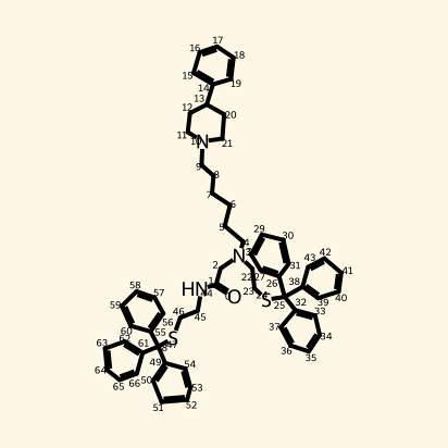 O=C(CN(CCCCCCN1CCC(c2ccccc2)CC1)CCSC(c1ccccc1)(c1ccccc1)c1ccccc1)NCCSC(c1ccccc1)(c1ccccc1)c1ccccc1